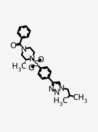 CC(C)Cn1cc(-c2ccc(S(=O)(=O)N3CCN(C(=O)c4ccccc4)C[C@H]3C)cc2)nn1